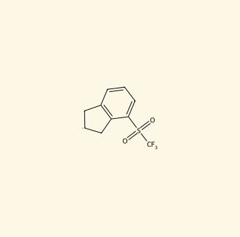 O=S(=O)(c1cccc2c1C[CH]C2)C(F)(F)F